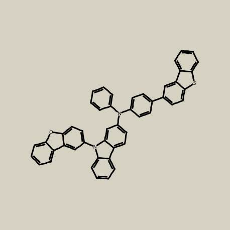 c1ccc(N(c2ccc(-c3ccc4sc5ccccc5c4c3)cc2)c2ccc3c4ccccc4n(-c4ccc5oc6ccccc6c5c4)c3c2)cc1